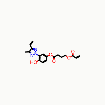 C=CC(=O)OCCCC(=O)Oc1ccc(O)c(-n2nc(C)c(C=C)n2)c1